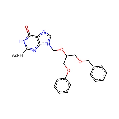 CC(=O)Nc1nc2c(ncn2COC(COCc2ccccc2)COc2ccccc2)c(=O)[nH]1